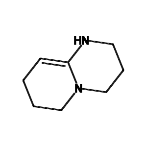 C1=C2NCCCN2CCC1